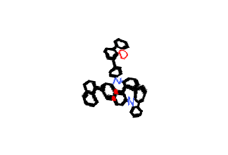 c1cc(-c2cccc3ccccc23)cc(N(c2ccc(-c3cccc4c3oc3ccccc34)cc2)c2ccccc2-c2ccccc2-n2c3ccccc3c3ccccc32)c1